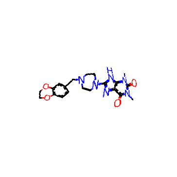 Cn1c(=O)c2nc(N3CCN(Cc4ccc5c(c4)OCCO5)CC3)[nH]c2n(C)c1=O